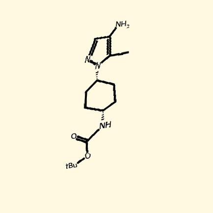 Cc1c(N)cnn1[C@H]1CC[C@@H](NC(=O)OC(C)(C)C)CC1